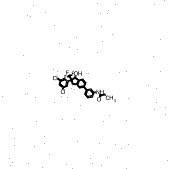 CCC(=O)Nc1cccc(-c2ccc3c(c2)CC(c2cc(Cl)cc(Cl)c2)(C(F)(F)F)C3O)c1